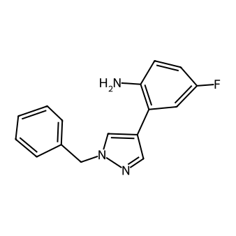 Nc1ccc(F)cc1-c1cnn(Cc2ccccc2)c1